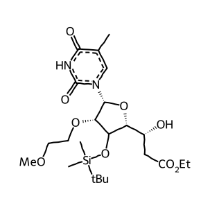 CCOC(=O)C[C@@H](O)[C@H]1O[C@@H](n2cc(C)c(=O)[nH]c2=O)[C@@H](OCCOC)C1O[Si](C)(C)C(C)(C)C